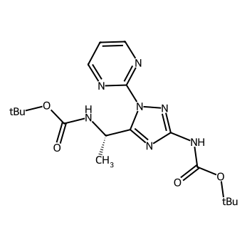 C[C@H](NC(=O)OC(C)(C)C)c1nc(NC(=O)OC(C)(C)C)nn1-c1ncccn1